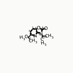 CC(C)c1ccc2oc(=O)n(C(C)C)c2n1